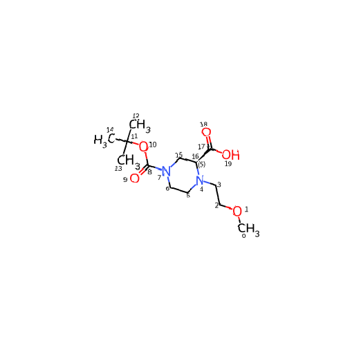 COCCN1CCN(C(=O)OC(C)(C)C)C[C@H]1C(=O)O